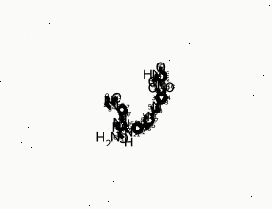 CN1CCN(C2CC3CC2N(c2nnc(C(N)=O)c(Nc4ccc(C5(C)CCN(C6CN(c7ccc8c(c7)C(=O)N(C7CCC(=O)NC7=O)C8=O)C6)CC5)cc4)n2)C3)C1=O